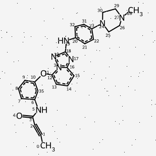 CC#CC(=O)Nc1cccc(Oc2cccc3nc(Nc4ccc(N5CCN(C)CC5)cc4)nn23)c1